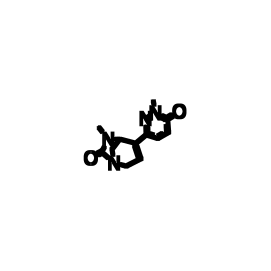 CN1C(=O)N2CC=C(c3ccc(=O)n(C)n3)C1C2